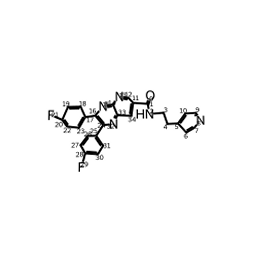 O=C(NCCc1ccncc1)c1cnc2nc(-c3ccc(F)cc3)c(-c3ccc(F)cc3)nc2c1